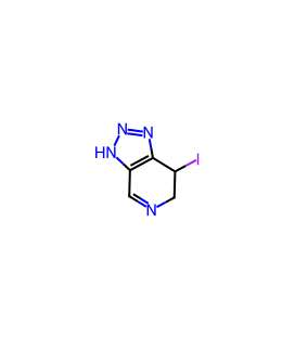 IC1CN=Cc2[nH]nnc21